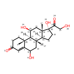 C[C@]12CCC(=O)C=C1C(O)C[C@@H]1[C@@H]2[C@@H](O)C[C@@]2(C)[C@H]1CC[C@]2(O)C(=O)CO